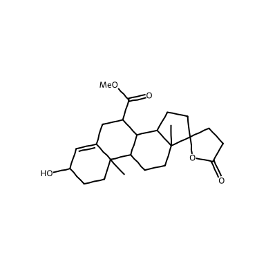 COC(=O)C1CC2=CC(O)CCC2(C)C2CCC3(C)C(CCC34CCC(=O)O4)C12